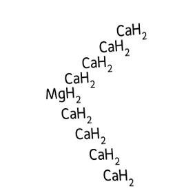 [CaH2].[CaH2].[CaH2].[CaH2].[CaH2].[CaH2].[CaH2].[CaH2].[MgH2]